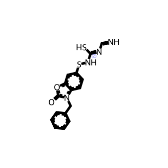 N=C/N=C(\S)NSc1ccc2c(c1)oc(=O)n2Cc1ccccc1